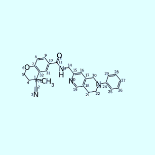 C[C@@]1(C#N)CCOc2ccc(C(=O)NCc3cc4c(cn3)CCN(c3ccccc3)C4)cc21